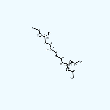 CCO[C@H](I)CCNCCCC[SiH](OCC)OCC